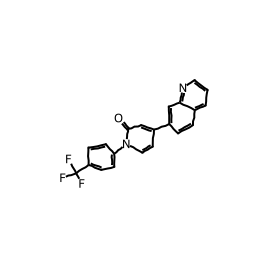 O=c1cc(-c2ccc3cccnc3c2)ccn1-c1ccc(C(F)(F)F)cc1